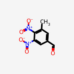 Cc1cc(C=O)cc([N+](=O)[O-])c1[N+](=O)[O-]